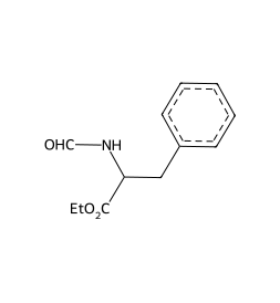 CCOC(=O)C(Cc1ccccc1)NC=O